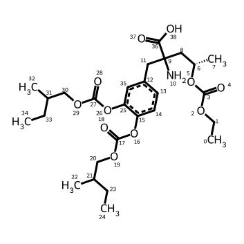 CCOC(=O)O[C@@H](C)CC(N)(Cc1ccc(OC(=O)OCC(C)CC)c(OC(=O)OCC(C)CC)c1)C(=O)O